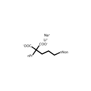 CCCCCCCCCCCCC(CCC)(C(=O)[O-])C(=O)[O-].[Li+].[Na+]